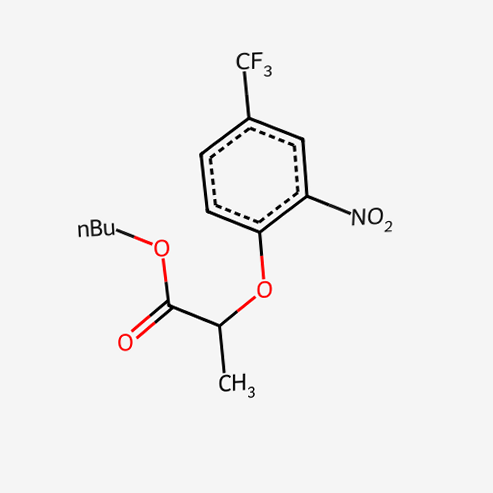 CCCCOC(=O)C(C)Oc1ccc(C(F)(F)F)cc1[N+](=O)[O-]